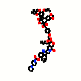 CCc1c2c(nc3ccc(OC(=O)N4CCC(N5CCCCC5)CC4)cc13)-c1cc3c(c(=O)n1C2)COC(=O)C3(CC)OC(=O)COc1ccc(C(=O)OC2c3cc4c(cc3[C@H](c3cc(OC)c(OC)c(OC)c3)[C@H]3C(=O)OC[C@@H]23)OCO4)cc1